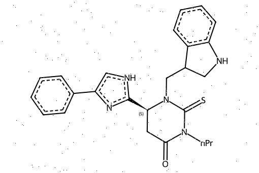 CCCN1C(=O)C[C@@H](c2nc(-c3ccccc3)c[nH]2)N(CC2CNc3ccccc32)C1=S